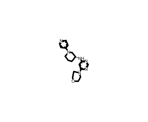 c1cc(N2CCC[C@@H](Nc3cc(N4CCOCC4)ncn3)C2)ccn1